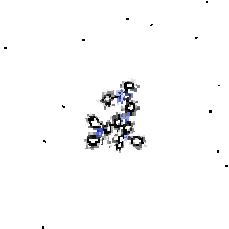 CC1(C)c2ccccc2-c2c1c1c3c4cc(-c5ccc6c(c5)c5ccccc5n6-c5ccccc5)ccc4n(-c4cccc(-c5nc(-c6ccccc6)nc(-c6ccccc6)n5)c4)c3ccc1n2-c1ccccc1